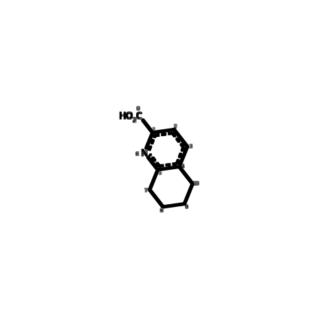 O=C(O)c1ccc2c(n1)CCCC2